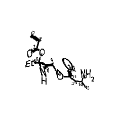 C=CC(=O)OC1(CC)NC1COC(=O)CC(C)N